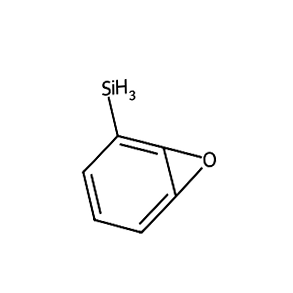 [SiH3]c1cccc2c1O2